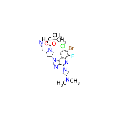 CN(C)C1CN(c2nc3c(F)c(Br)c(Cl)cc3c3c2ncn3[C@@H]2C[C@H](CC#N)N(C(=O)OC(C)(C)C)C2)C1